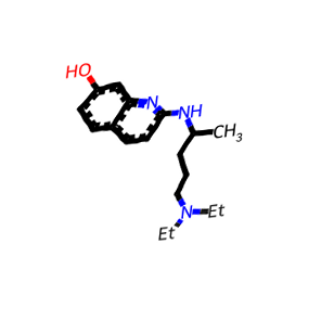 CCN(CC)CCCC(C)Nc1ccc2ccc(O)cc2n1